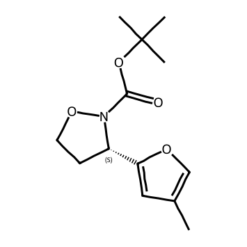 Cc1coc([C@@H]2CCON2C(=O)OC(C)(C)C)c1